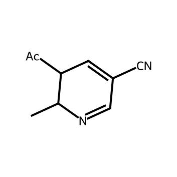 CC(=O)C1C=C(C#N)C=NC1C